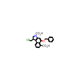 O=C(O)c1cccc2c3c(cc(OCc4ccccc4)c12)N(C(=O)O)CC3CCl